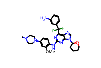 COc1cc(N2CCN(C)CC2)ccc1Nc1nc(C(F)(F)c2cccc(N)c2)c2ncn(C3CCCCO3)c2n1